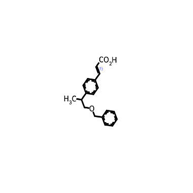 CC(COCc1ccccc1)c1ccc(/C=C/C(=O)O)cc1